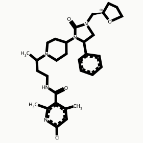 Cc1cc(Cl)nc(C)c1C(=O)NCCC(C)N1CCC(N2C(=O)N(C[C@H]3CCCO3)CC2c2ccccc2)CC1